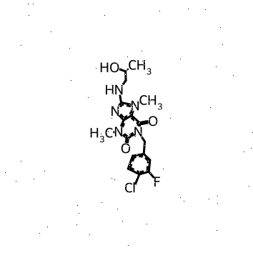 C[C@@H](O)CNc1nc2c(c(=O)n(Cc3ccc(Cl)c(F)c3)c(=O)n2C)n1C